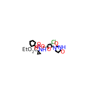 CCOC(=O)C1(NP(=O)(OC[C@@H]2C[C@H](Cl)[C@H](n3ccc(=O)[nH]c3=O)O2)Oc2ccccc2)CC1